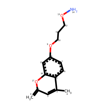 C=C1C=C(C)c2ccc(OCCCON)cc2O1